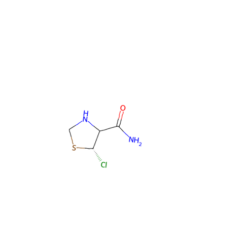 NC(=O)C1NCS[C@H]1Cl